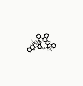 CC(C)(C)c1nc2cc(-c3ccccc3-c3nc4cccc(-c5nc6ccccc6nc5C(C)(C)C)c4o3)c3ccccc3c2nc1-c1ccccc1